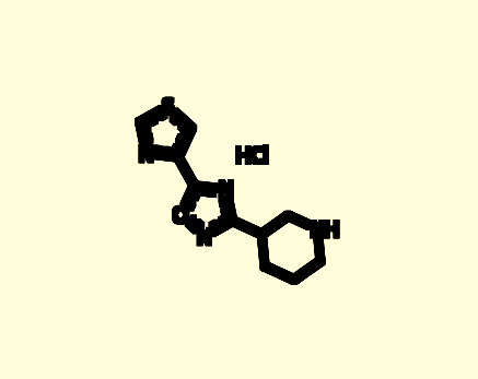 Cl.c1nc(-c2nc(C3CCCNC3)no2)cs1